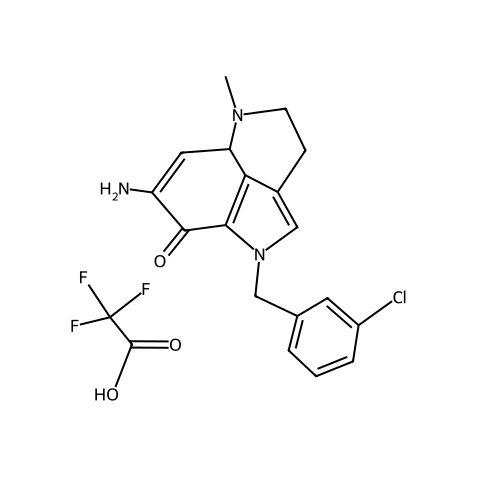 CN1CCc2cn(Cc3cccc(Cl)c3)c3c2C1C=C(N)C3=O.O=C(O)C(F)(F)F